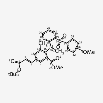 COC(=O)c1cc(C=CC(=O)OC(C)(C)C)cc(C)c1N(C)c1cccnc1S(=O)(=O)c1ccc(OC)cc1